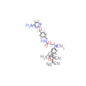 CN(CCOC(=O)NCc1ccc(COc2nccc(N)n2)cc1)c1ccc(C2=C(C#N)C(=C(C#N)C#N)OC2(C)C)cc1